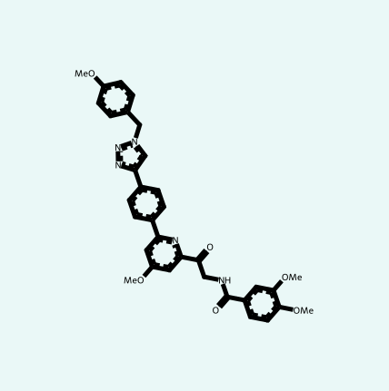 COc1ccc(Cn2cc(-c3ccc(-c4cc(OC)cc(C(=O)CNC(=O)c5ccc(OC)c(OC)c5)n4)cc3)nn2)cc1